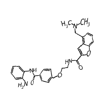 CN(C)Cc1cccc2oc(C(=O)NCCOc3ccc(C(=O)Nc4ccccc4N)cc3)cc12